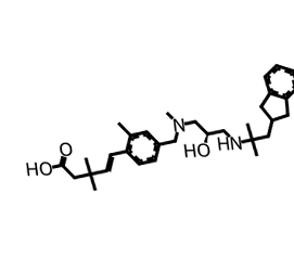 Cc1cc(CN(C)C[C@H](O)CNC(C)(C)CC2Cc3ccccc3C2)ccc1/C=C/C(C)(C)CC(=O)O